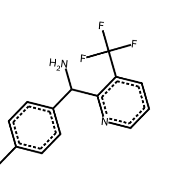 Cc1ccc(C(N)c2ncccc2C(F)(F)F)cc1